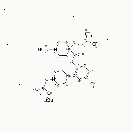 CC(C)(C)OC(=O)CN1CCN(c2cc(C(F)(F)F)ccc2CN2CC(C(C(F)(F)F)C(F)(F)F)CC23CCN(C(=O)O)CC3)CC1